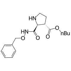 CCCCOC(=O)[C@H]1CCN[C@@H]1C(=O)NOCc1ccccc1